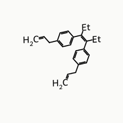 C=CCc1ccc(C(CC)=C(CC)c2ccc(CC=C)cc2)cc1